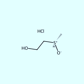 C[S@+]([O-])CCO.Cl